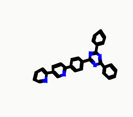 c1ccc(-c2nc(-c3ccccc3)nc(-c3ccc(-c4ccc(-c5ccccn5)cn4)cc3)n2)cc1